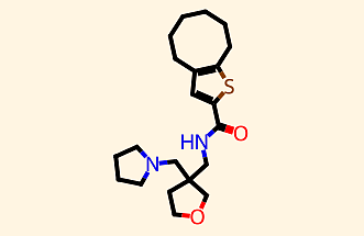 O=C(NCC1(CN2CCCC2)CCOC1)c1cc2c(s1)CCCCCC2